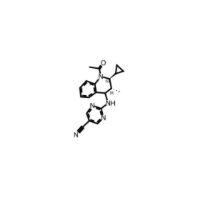 CC(=O)N1c2ccccc2C(Nc2ncc(C#N)cn2)[C@@H](C)[C@@H]1C1CC1